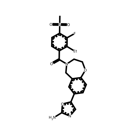 CCc1c(C(=O)N2CCOc3ccc(-c4cnc(N)o4)cc3C2)ccc(S(C)(=O)=O)c1F